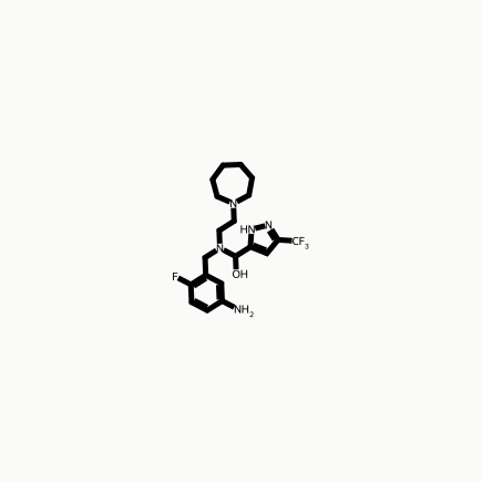 Nc1ccc(F)c(CN(CCN2CCCCCC2)C(O)c2cc(C(F)(F)F)n[nH]2)c1